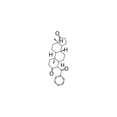 C[C@]12CCC(=O)C(C(=O)c3ccccc3)[C@@H]1CC[C@@H]1[C@@H]2CC[C@]2(C)C(=O)CC[C@@H]12